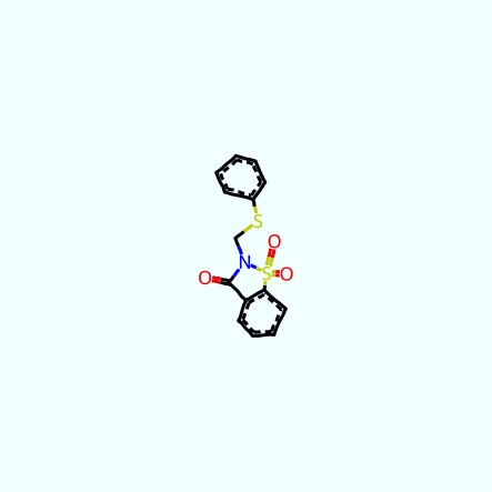 O=C1c2ccccc2S(=O)(=O)N1CSc1ccccc1